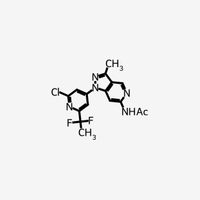 CC(=O)Nc1cc2c(cn1)c(C)nn2-c1cc(Cl)nc(C(C)(F)F)c1